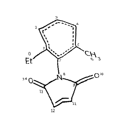 CCc1cccc(C)c1N1C(=O)C=CC1=O